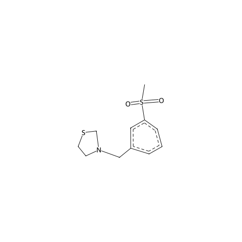 CS(=O)(=O)c1cccc(CN2CCSC2)c1